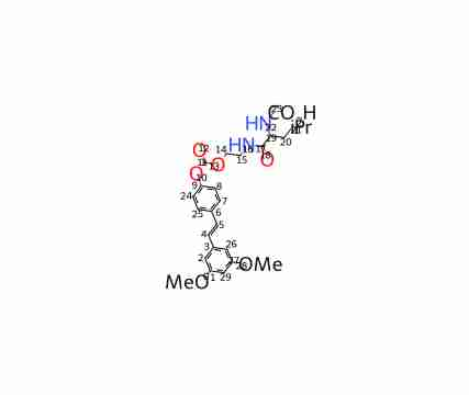 COc1cc(C=Cc2ccc(OC(=O)OCCNC(=O)C(CC(C)C)NC(=O)O)cc2)cc(OC)c1